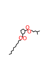 CCCCCCCCCCOC(=O)C1CCCC(C(=O)OCCCC(C)C)C1